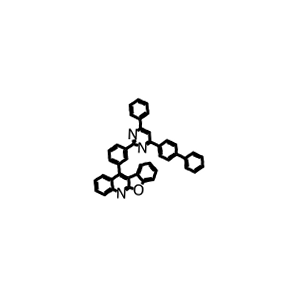 c1ccc(-c2ccc(-c3cc(-c4ccccc4)nc(-c4cccc(-c5c6ccccc6nc6oc7ccccc7c56)c4)n3)cc2)cc1